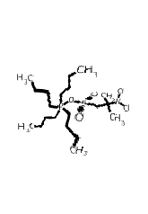 CCCCP(CCCC)(CCCC)(CCCC)OS(=O)(=O)CC(C)(C)N(Cl)Cl